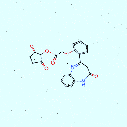 O=C1CC(c2ccccc2OCC(=O)OC2C(=O)CCC2=O)=Nc2ccccc2N1